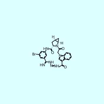 CC(=O)c1cn(CC(=O)N2[C@@H]3C[C@@H]3C[C@H]2C(=O)Nc2cc(Br)cc(C(=N)NN=N)c2)c2ccccc12